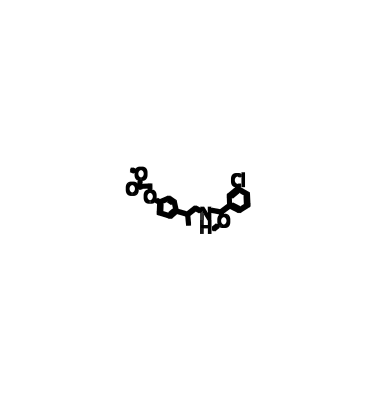 COC(=O)COc1ccc(C(C)CNCC(OC)c2cccc(Cl)c2)cc1